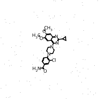 COc1cc2nc(C3CC3)nc(N3CCN(c4ccc(C(N)=O)cc4Cl)CC3)c2cc1OC